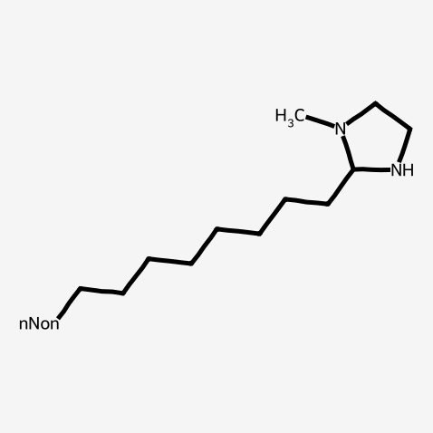 CCCCCCCCCCCCCCCCCC1NCCN1C